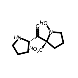 O=C(O)[C@]1(C(=O)[C@@H]2CCCN2)CCCN1O